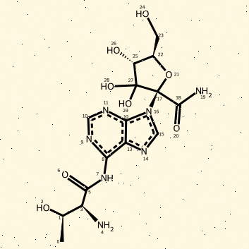 C[C@@H](O)[C@H](N)C(=O)Nc1ncnc2c1ncn2[C@]1(C(N)=O)O[C@H](CO)[C@@H](O)C1(O)O